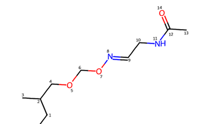 CCC(C)COCO/N=C/CNC(C)=O